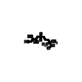 CC(C)(CCCS(=O)(=O)CC(O)C(O)CO)NCl